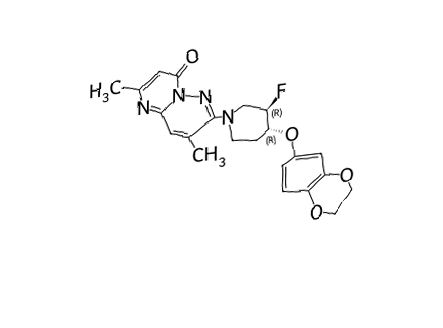 Cc1cc(=O)n2nc(N3CC[C@@H](Oc4ccc5c(c4)OCCO5)[C@H](F)C3)c(C)cc2n1